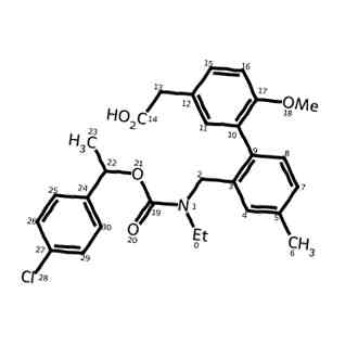 CCN(Cc1cc(C)ccc1-c1cc(CC(=O)O)ccc1OC)C(=O)OC(C)c1ccc(Cl)cc1